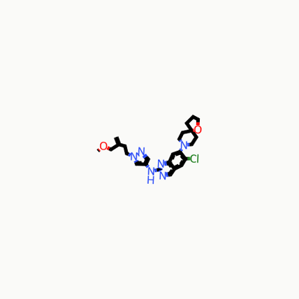 C=C(CCn1cc(Nc2ncc3cc(Cl)c(N4CCC5(CCCO5)CC4)cc3n2)cn1)COC